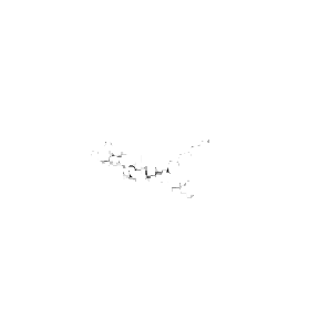 CCCCCCCCCCCCCCCCCC(=O)N[C@H](CSC[C@H](O)CO)C(=O)Nc1cn([C@H]2OC(CO)[C@@H](O)[C@H]2O)nn1